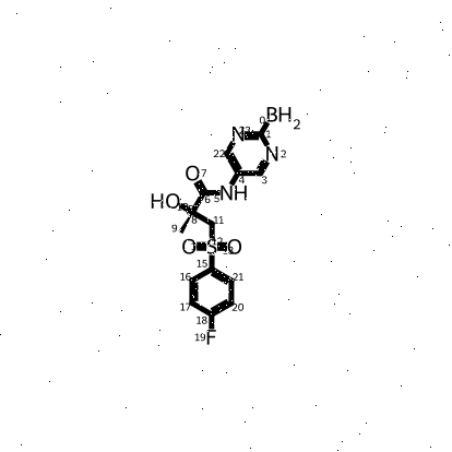 Bc1ncc(NC(=O)[C@@](C)(O)CS(=O)(=O)c2ccc(F)cc2)cn1